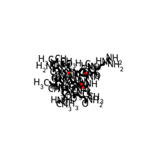 CC[C@H](C)C(N)C(=O)C(NC(C)=O)C(=O)NC(N[C@H](C=O)Cc1c[nH]c2ccccc12)C(=O)NC(C(=O)NC(CC(=O)[C@H](C)NC)C(=O)NC(C(=O)NC(CC(=O)[C@H](C)NC)C(=O)NC(N[C@H](C=O)CC(C)C)C(=O)NC(C(=O)NC)C(=O)[C@@H](N)CCCNC(N)N)C(=O)[C@@H](N)CCC(N)=O)C(=O)C(N)[C@@H](C)CC